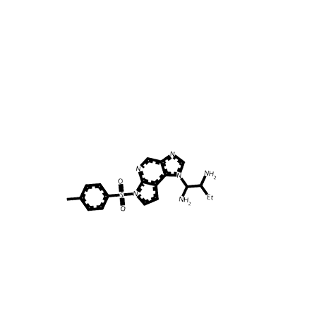 CCC(N)C(N)n1cnc2cnc3c(ccn3S(=O)(=O)c3ccc(C)cc3)c21